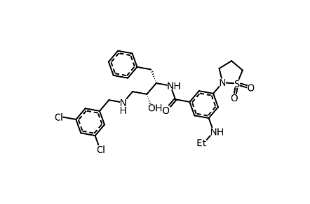 CCNc1cc(C(=O)N[C@@H](Cc2ccccc2)[C@H](O)CNCc2cc(Cl)cc(Cl)c2)cc(N2CCCS2(=O)=O)c1